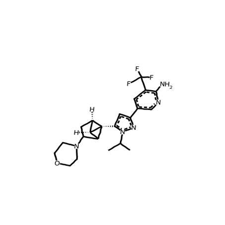 CC(C)n1nc(-c2cnc(N)c(C(F)(F)F)c2)cc1[C@@]12C3C(N4CCOCC4)C[C@@H]1[C@H]32